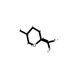 CC1CCC(=C(F)F)OC1